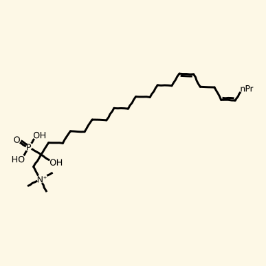 CCC/C=C\CC/C=C\CCCCCCCCCCCCC(O)(C[N+](C)(C)C)P(=O)(O)O